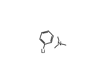 CN(C)C.[Li][c]1ccccc1